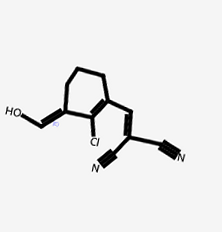 N#CC(C#N)=CC1=C(Cl)/C(=C/O)CCC1